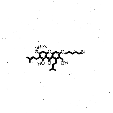 CCCCCCOc1cc2oc3cc(OCCCCCBr)c(CO)c(CC=C(C)C)c3c(=O)c2c(O)c1CC=C(C)C